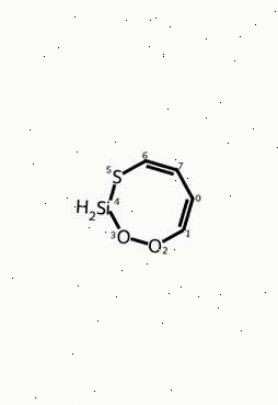 C1=COO[SiH2]SC=C1